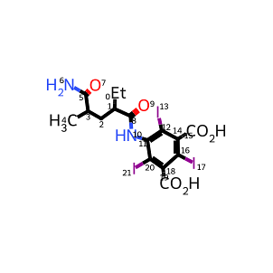 CCC(CC(C)C(N)=O)C(=O)Nc1c(I)c(C(=O)O)c(I)c(C(=O)O)c1I